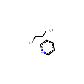 O=S(=O)(O)CCBr.c1ccncc1